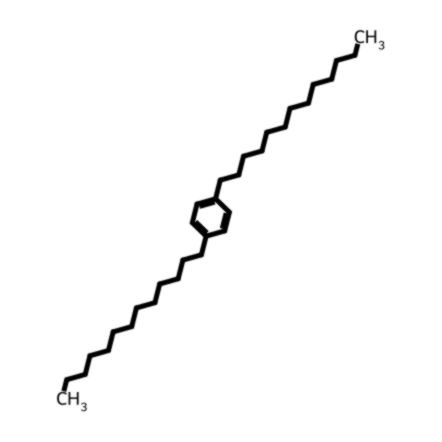 CCCCCCCCCCCCCc1ccc(CCCCCCCCCCCCC)cc1